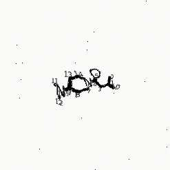 CC(C)CC(=O)N1CCC(N(C)C)CC1